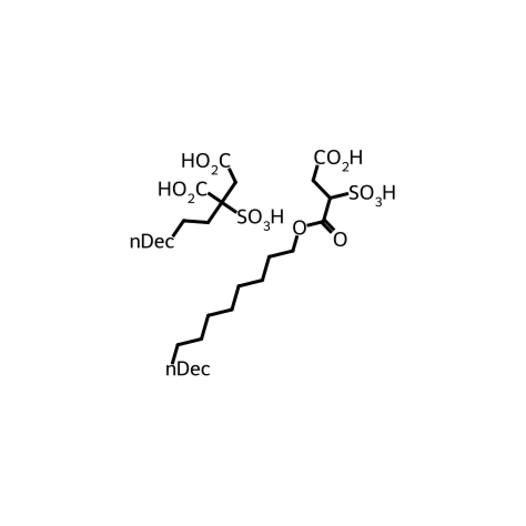 CCCCCCCCCCCCC(CC(=O)O)(C(=O)O)S(=O)(=O)O.CCCCCCCCCCCCCCCCCCOC(=O)C(CC(=O)O)S(=O)(=O)O